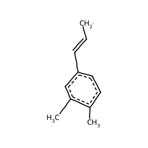 [CH2]C=Cc1ccc(C)c(C)c1